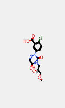 COC[C@H](O)Cn1c(=O)cnn(-c2ccc(Cl)c(C(=O)O)c2)c1=O